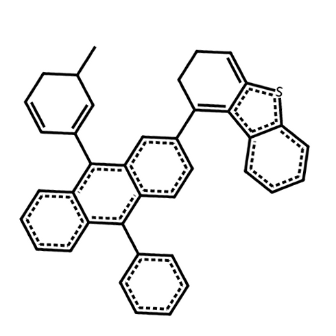 CC1C=C(c2c3ccccc3c(-c3ccccc3)c3ccc(C4=c5c(sc6ccccc56)=CCC4)cc23)C=CC1